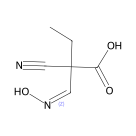 CCC(C#N)(/C=N\O)C(=O)O